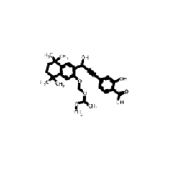 COC(C)OCOc1cc2c(cc1C(O)C#Cc1ccc(C(=O)O)c(O)c1)C(C)(C)CCC2(C)C